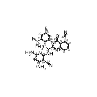 CC(Nc1nc(N)nc(N)c1C#N)c1nc2cccc(C#N)c2c(=O)n1-c1cc(F)cc(C(F)F)c1